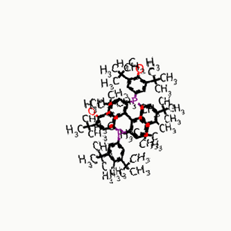 COc1c(C(C)(C)C)cc(P(c2cc(C(C)(C)C)c(C)c(C(C)(C)C)c2)c2cccc(C)c2-c2c(C)cccc2P(c2cc(C(C)(C)C)c(C)c(C(C)(C)C)c2)c2cc(C(C)(C)C)c(OC)c(C(C)(C)C)c2)cc1C(C)(C)C